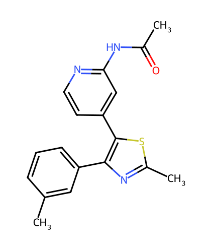 CC(=O)Nc1cc(-c2sc(C)nc2-c2cccc(C)c2)ccn1